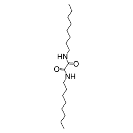 CCCCCCCCNC(=O)C(=O)NCCCCCCCC